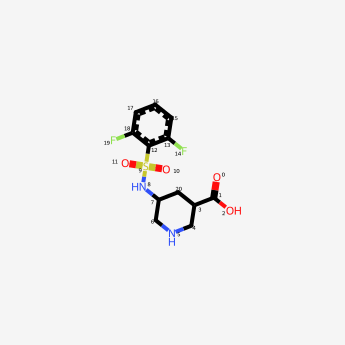 O=C(O)C1CNCC(NS(=O)(=O)c2c(F)cccc2F)C1